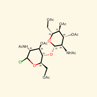 CC(=O)N[C@H]1[C@H](O[C@H]2[C@H](OC(C)=O)[C@@H](NC(C)=O)C(Cl)O[C@@H]2COC(C)=O)O[C@H](COC(C)=O)[C@@H](OC(C)=O)[C@@H]1OC(C)=O